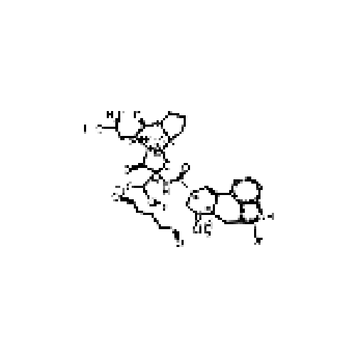 CC(C)C[C@H]1C(=O)N2CCC[C@H]2[C@]2(O)O[C@](NC(=O)[C@@H]3C=C4c5cccc6[nH]c(Br)c(c56)C[C@H]4N(C)C3)(C(C)C)C(=O)N12.O=CCCCC=O